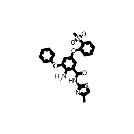 Cc1csc(NC(=O)c2cc(Oc3ccccc3S(C)(=O)=O)cc(Oc3ccccc3)c2N)n1